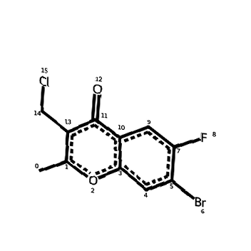 Cc1oc2cc(Br)c(F)cc2c(=O)c1CCl